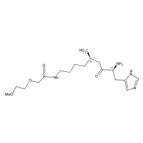 COCCOCC(=O)NCCCC[C@H](CC(=O)[C@@H](N)Cc1cnc[nH]1)C(=O)O